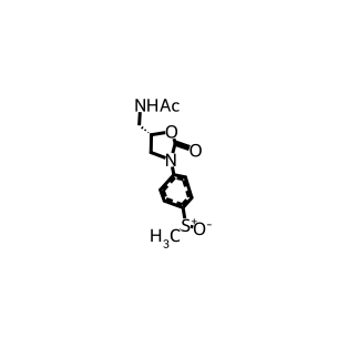 CC(=O)NC[C@H]1CN(c2ccc([S+](C)[O-])cc2)C(=O)O1